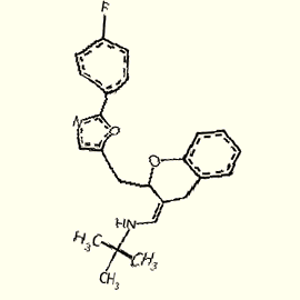 CC(C)(C)N/C=C1/Cc2ccccc2OC1Cc1cnc(-c2ccc(F)cc2)o1